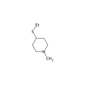 CCSC1CCN(C)CC1